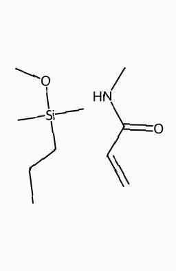 C=CC(=O)NC.CCC[Si](C)(C)OC